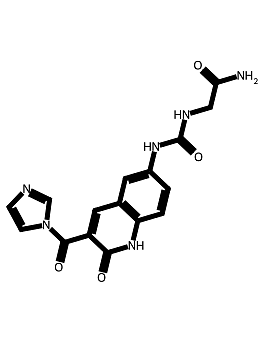 NC(=O)CNC(=O)Nc1ccc2[nH]c(=O)c(C(=O)n3ccnc3)cc2c1